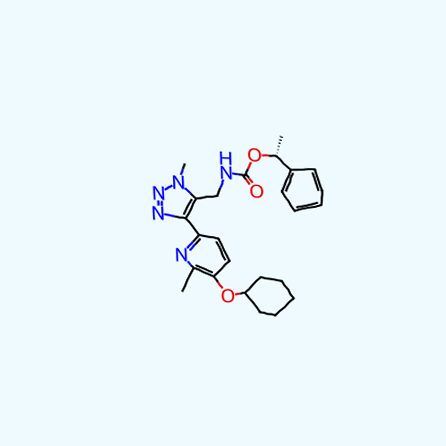 Cc1nc(-c2nnn(C)c2CNC(=O)O[C@H](C)c2ccccc2)ccc1OC1CCCCC1